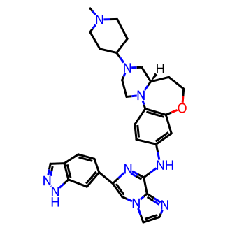 CN1CCC(N2CCN3c4ccc(Nc5nc(-c6ccc7cn[nH]c7c6)cn6ccnc56)cc4OCC[C@H]3C2)CC1